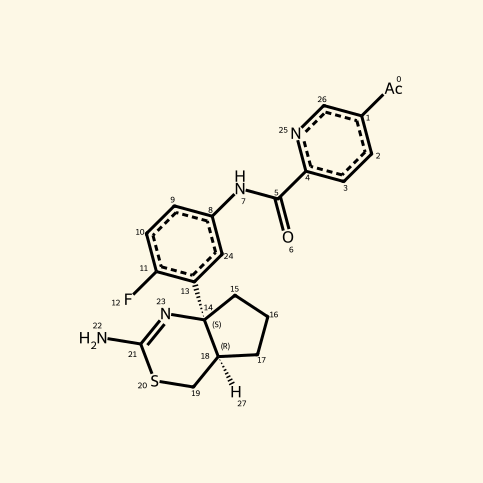 CC(=O)c1ccc(C(=O)Nc2ccc(F)c([C@]34CCC[C@H]3CSC(N)=N4)c2)nc1